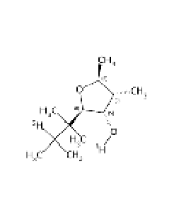 [3H]O[C@H]1[C@@H](C)[C@H](C)O[C@@H]1C(C)(C)C([3H])(C)C